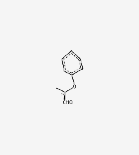 C[C@H](C=O)Oc1ccccc1